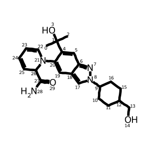 CC(C)(O)c1cc2nn(C3CCC(CO)CC3)cc2cc1N1C=CC=CC1C(N)=O